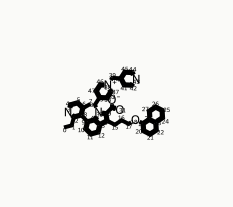 CCc1nccc(C)c1-c1cccc2c(CCCOc3cccc4ccccc34)c(C(=O)[O-])n(Cc3cc[n+](Cc4ccncc4)cc3)c12